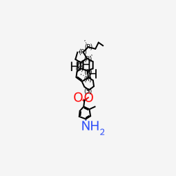 CCC[C@@H](C)[C@H]1CC[C@@H]2[C@@H]3CC=C4C[C@@H](OC(=O)c5ccc(N)cc5C)CC[C@]4(C)[C@@H]3CC[C@@]21C